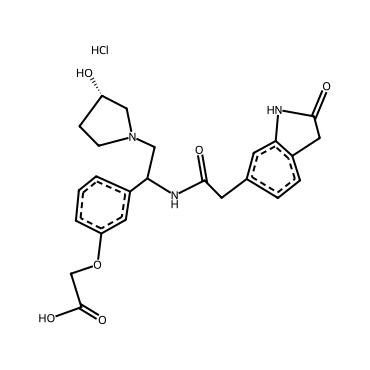 Cl.O=C(O)COc1cccc(C(CN2CC[C@H](O)C2)NC(=O)Cc2ccc3c(c2)NC(=O)C3)c1